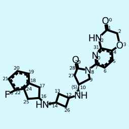 O=C1COc2ccc(N3C[C@@H](NC4CC(NC5Cc6cccc(F)c6C5)C4)CC3=O)nc2N1